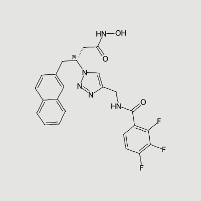 O=C(C[C@@H](Cc1ccc2ccccc2c1)n1cc(CNC(=O)c2ccc(F)c(F)c2F)nn1)NO